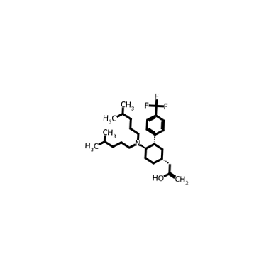 C=C(O)C[C@@H]1CC[C@@H](N(CCCC(C)C)CCCC(C)C)[C@H](c2ccc(C(F)(F)F)cc2)C1